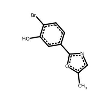 Cc1cnc(-c2ccc(Br)c(O)c2)o1